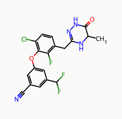 CC1NC(Cc2ccc(Cl)c(Oc3cc(C#N)cc(C(F)F)c3)c2F)=NNC1=O